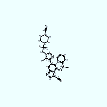 Cc1c(-c2cc(O[C@H](C)c3ccccn3)n3c(C#N)cnc3c2)nnn1CC(C)(C)N1CCN(C#N)CC1